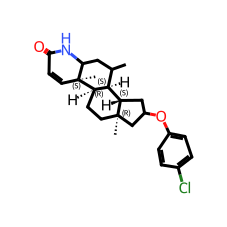 CC1CC2NC(=O)C=C[C@]2(C)[C@@H]2CC[C@]3(C)CC(Oc4ccc(Cl)cc4)C[C@H]3[C@H]12